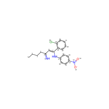 CCCCC(=N)/C=C(\Nc1ccc([N+](=O)[O-])cc1)c1ccccc1Cl